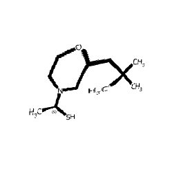 C[C@H](S)N1CCOC(CC(C)(C)C)C1